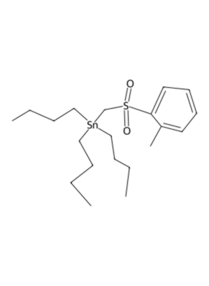 CCC[CH2][Sn]([CH2]CCC)([CH2]CCC)[CH2]S(=O)(=O)c1ccccc1C